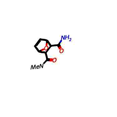 CNC(=O)C1C2C=CC(O2)C1C(N)=O